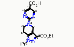 CCOC(=O)c1nn(C(C)C)c2c1CN(c1ncc(C(=O)O)cn1)CC2